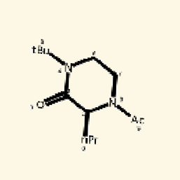 CCCC1C(=O)N(C(C)(C)C)CCN1C(C)=O